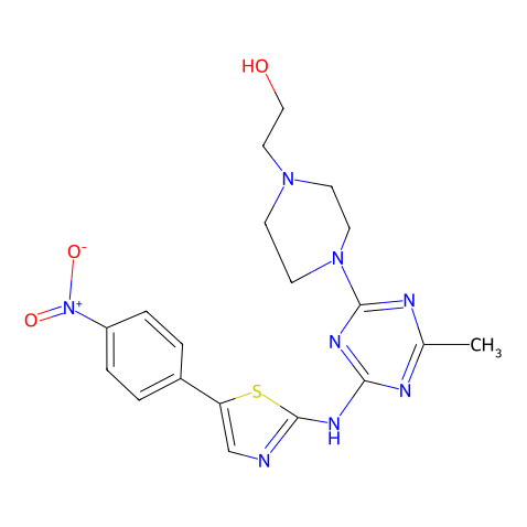 Cc1nc(Nc2ncc(-c3ccc([N+](=O)[O-])cc3)s2)nc(N2CCN(CCO)CC2)n1